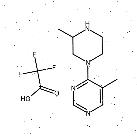 Cc1cncnc1N1CCNC(C)C1.O=C(O)C(F)(F)F